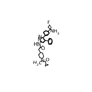 CN(C(=O)C1CC1)C1CCC(CC(=O)Nc2cc(-c3ccccc3)c(-c3ccc([C@]4(N)C[C@H](F)C4)cc3)nn2)CC1